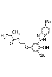 C=C(C)C(=O)OCCOc1cc(-n2nc3ccc(C(C)(C)C)cc3n2)c(O)c(C(C)(C)C)c1